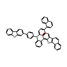 c1ccc(N(c2ccc(-c3ccc4c(c3)oc3ccccc34)cc2)c2ccc(-c3cccc4ccccc34)cc2)c(-c2cccc3c2oc2c4ccccc4ccc32)c1